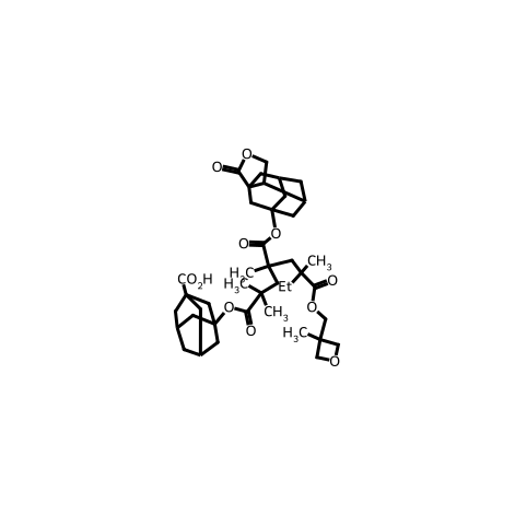 CCC(C)(CC(C)(CC(C)(C)C(=O)OC12CC3CC(C1)CC(C(=O)O)(C3)C2)C(=O)OC12CC3CC(C1)C1COC(=O)C1(C3)C2)C(=O)OCC1(C)COC1